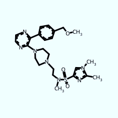 COCc1ccc(-c2nccnc2N2CCN(CCN(C)S(=O)(=O)c3cn(C)c(C)n3)CC2)cc1